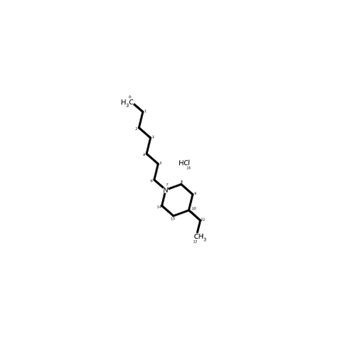 CCCCCCCN1CCC(CC)CC1.Cl